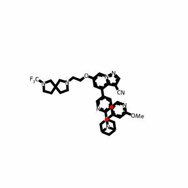 COc1cc(CN2C3CC2CN(c2ccc(-c4cc(OCCN5CCC6(CCN(C(F)(F)F)C6)C5)cn5ncc(C#N)c45)cn2)C3)ccn1